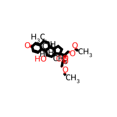 CCOCC(=O)O[C@]1(C(=O)COC(C)=O)CC[C@H]2[C@@H]3C[C@H](C)C4=CC(=O)C=C[C@]4(C)[C@H]3[C@@H](O)C[C@@]21C